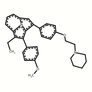 CCc1c(-c2ccc(OC)cc2)c2c(-c3ccc(OCCN4CCCCC4)cc3)cc3cccc1n32